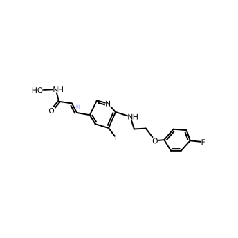 O=C(/C=C/c1cnc(NCCOc2ccc(F)cc2)c(I)c1)NO